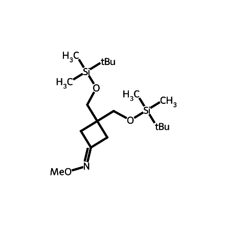 CON=C1CC(CO[Si](C)(C)C(C)(C)C)(CO[Si](C)(C)C(C)(C)C)C1